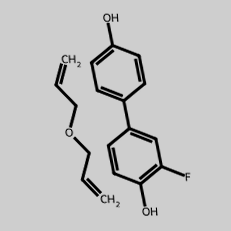 C=CCOCC=C.Oc1ccc(-c2ccc(O)c(F)c2)cc1